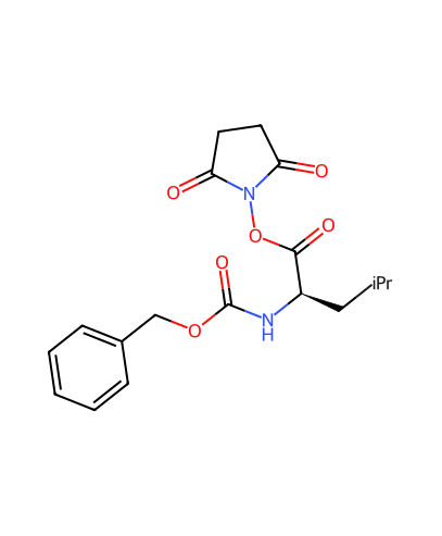 CC(C)C[C@@H](NC(=O)OCc1ccccc1)C(=O)ON1C(=O)CCC1=O